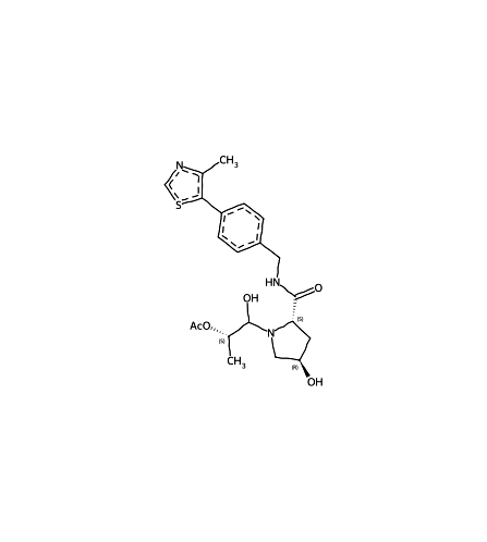 CC(=O)O[C@@H](C)C(O)N1C[C@H](O)C[C@H]1C(=O)NCc1ccc(-c2scnc2C)cc1